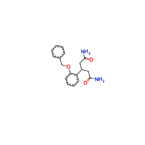 NC(=O)CC(CC(N)=O)c1ccccc1OCc1ccccc1